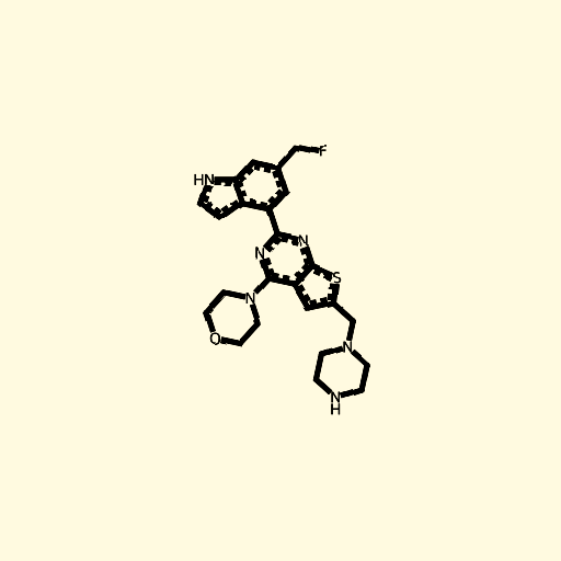 FCc1cc(-c2nc(N3CCOCC3)c3cc(CN4CCNCC4)sc3n2)c2cc[nH]c2c1